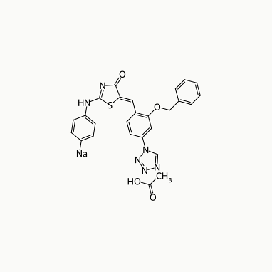 CC(=O)O.O=C1N=C(Nc2cc[c]([Na])cc2)SC1=Cc1ccc(-n2cnnn2)cc1OCc1ccccc1